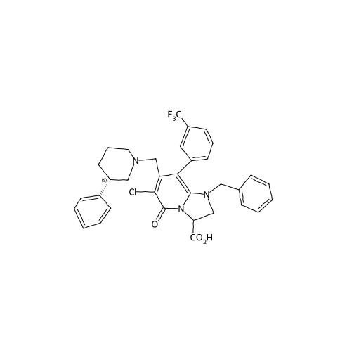 O=C(O)C1CN(Cc2ccccc2)c2c(-c3cccc(C(F)(F)F)c3)c(CN3CCC[C@@H](c4ccccc4)C3)c(Cl)c(=O)n21